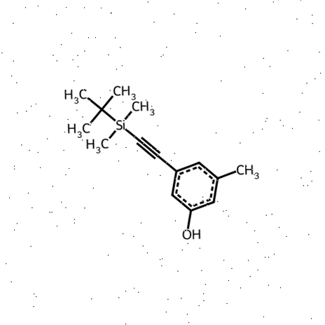 Cc1cc(O)cc(C#C[Si](C)(C)C(C)(C)C)c1